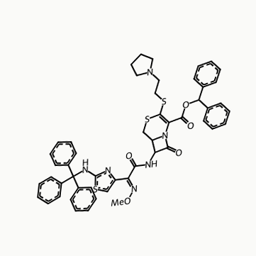 CON=C(C(=O)NC1C(=O)N2C(C(=O)OC(c3ccccc3)c3ccccc3)=C(SCCN3CCCC3)SCC12)c1csc(NC(c2ccccc2)(c2ccccc2)c2ccccc2)n1